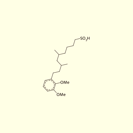 COc1cccc(CCC(C)CC(C)CCCCS(=O)(=O)O)c1OC